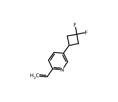 C=Cc1ccc(C2CC(F)(F)C2)cn1